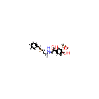 CC(CCSCc1ccccc1)NCC(O)c1ccc(O)c([S+](C)[O-])c1